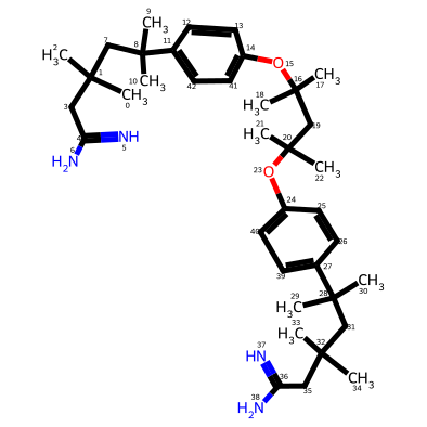 CC(C)(CC(=N)N)CC(C)(C)c1ccc(OC(C)(C)CC(C)(C)Oc2ccc(C(C)(C)CC(C)(C)CC(=N)N)cc2)cc1